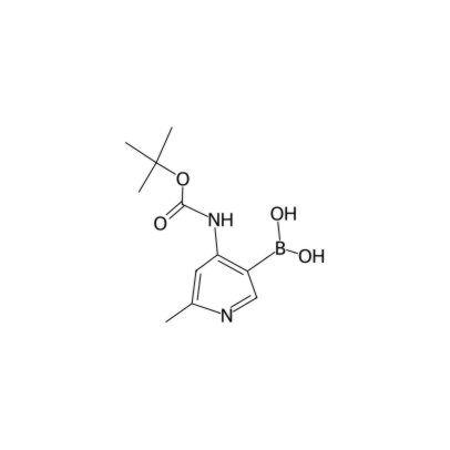 Cc1cc(NC(=O)OC(C)(C)C)c(B(O)O)cn1